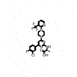 C[C@H](Nc1nc(-c2ccc(F)c(Cl)c2)cc(N2CCN(c3ncccc3C(F)(F)F)CC2)n1)C(=O)O